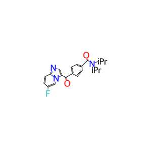 CC(C)N(C(=O)c1ccc(C(=O)c2cnc3ccc(F)cn23)cc1)C(C)C